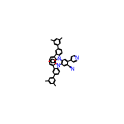 Cc1cc(C)cc(-c2ccc3c(c2)c2ccccc2n3-c2cc(C#N)c(-c3ccncc3)cc2-n2c3ccccc3c3cc(-c4cc(C)cc(C)c4)ccc32)c1